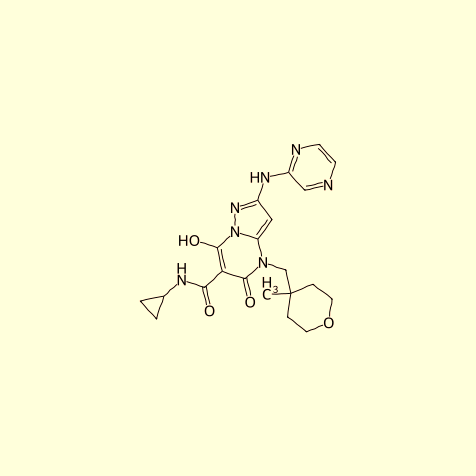 CC1(Cn2c(=O)c(C(=O)NC3CC3)c(O)n3nc(Nc4cnccn4)cc23)CCOCC1